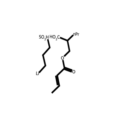 CC=CC(=O)OCC(CCC)C(=O)O.[Li][CH2]CCS(=O)(=O)O